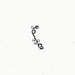 O=C(NCCCCC1CCN(C(=O)C2CCOC2)CC1)Nc1ccc2nccn2c1